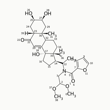 COC(CN(C(=O)c1ccco1)C(C)[C@H]1CC[C@@]2(O)C3=CC(=O)[C@@H]4C[C@@H](O)[C@@H](O)C[C@]4(C)C3CC[C@]12C)OC